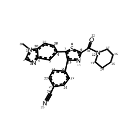 Cn1cnc2cc(-c3sc(C(=O)N4CCCCC4)nc3-c3ccc(C#N)cc3)ccc21